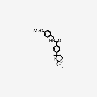 COc1ccc(CNC(=O)c2ccc(C3(C)CCSC(N)=N3)cc2)cc1